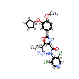 COc1ccc(-c2nc(C(=O)Nc3c(Cl)cncc3Cl)c([C@H](C)N)o2)cc1OC1CCCC1